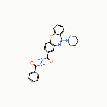 O=C(NNC(=O)c1ccc2c(c1)N=C(N1CCCCC1)c1ccccc1S2)c1ccccc1